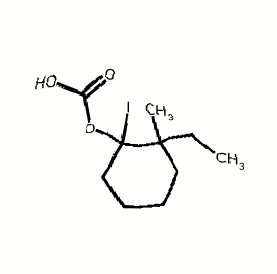 CCC1(C)CCCCC1(I)OC(=O)O